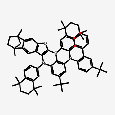 CC(C)(C)c1ccc(N2c3cc4c(cc3B3c5oc6cc7c(cc6c5N(c5ccc6c(c5)C(C)(C)CCC6(C)C)c5cc(C(C)(C)C)cc2c53)C2(C)CCC7(C)C2)C(C)(C)CCC4(C)C)c(-c2ccccc2)c1